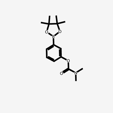 CN(C)C(=O)Oc1cccc(B2OC(C)(C)C(C)(C)O2)c1